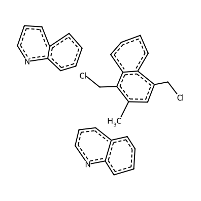 Cc1cc(CCl)c2ccccc2c1CCl.c1ccc2ncccc2c1.c1ccc2ncccc2c1